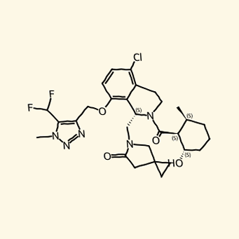 C[C@H]1CCC[C@H](O)[C@H]1C(=O)N1CCc2c(Cl)ccc(OCc3nnn(C)c3C(F)F)c2[C@H]1CN1CC2(CC2)CC1=O